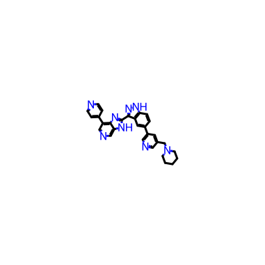 c1cc(-c2cncc3[nH]c(-c4n[nH]c5ccc(-c6cncc(CN7CCCCC7)c6)cc45)nc23)ccn1